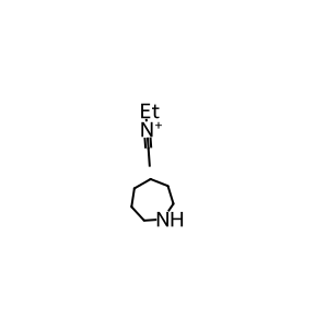 C1CCCNCC1.CC#[N+]CC